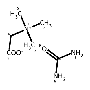 C[N+](C)(C)CC(=O)[O-].NC(N)=O